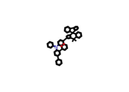 CC1(C)c2ccccc2C2(c3ccccc3-c3ccccc32)c2ccc(-c3ccc(N(c4ccccc4)c4ccc(-c5ccccc5)cc4-c4ccccc4)cc3)cc21